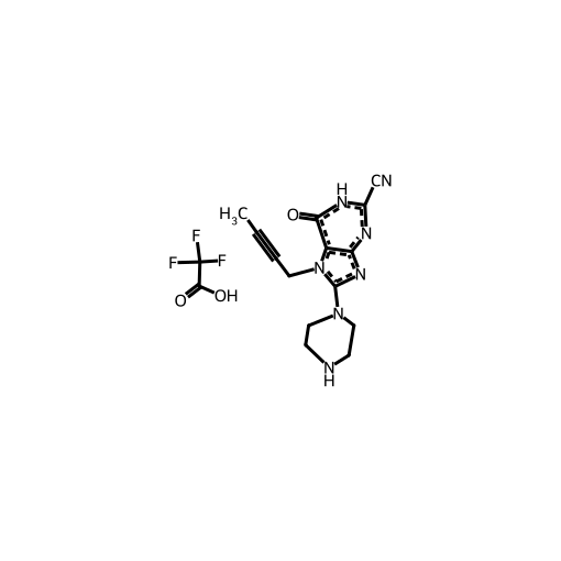 CC#CCn1c(N2CCNCC2)nc2nc(C#N)[nH]c(=O)c21.O=C(O)C(F)(F)F